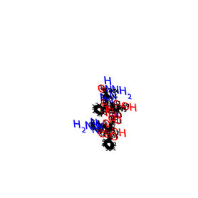 Nc1ncn([C@@H]2O[C@H](COP(=O)(O)O[C@@H]3C(OC(=O)c4ccccc4)[C@H](n4cnc5c(=O)[nH]c(N)nc54)O[C@@H]3CO)[C@H](O)C2OC(=O)c2ccccc2)c(=O)n1